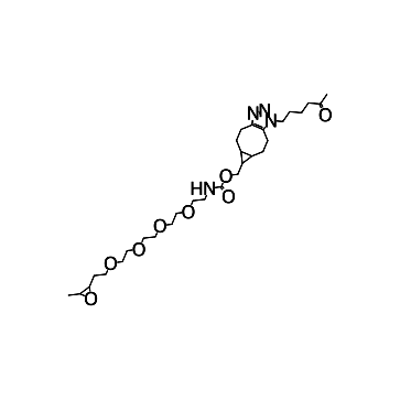 CC(=O)CCCCn1nnc2c1CCC1C(CC2)C1COC(=O)NCCOCCOCCOCCOCCC1OC1C